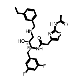 CCc1cccc(CNC[C@H](O)[C@H](Cc2cc(F)cc(F)c2)NC(=O)Cc2csc(NC(C)=O)n2)c1